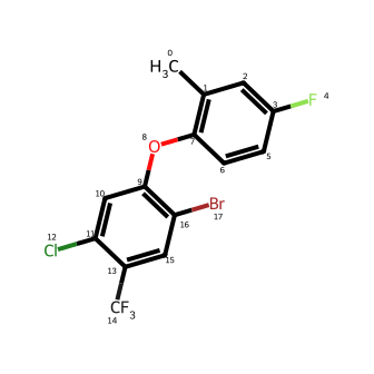 Cc1cc(F)ccc1Oc1cc(Cl)c(C(F)(F)F)cc1Br